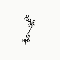 C=CCNC(=S)N1CCN(CCCCCCN2C(=S)N(c3ccc4c(c3)COC4=O)C(=O)C2(C)C)CC1